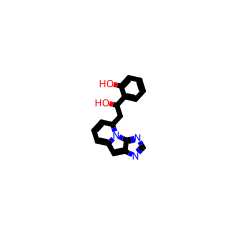 Oc1ccccc1C(O)CC1C=CC=c2cc3c(n21)=NC=N3